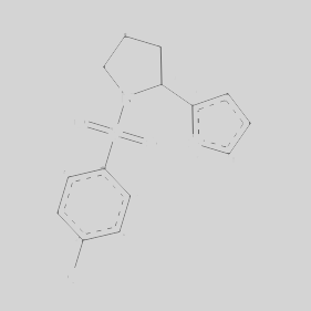 O=S(=O)(c1ccc(Cl)cc1)N1CCCC1c1ccco1